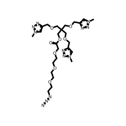 Cn1cc(COCC(COCc2cn(C)nn2)(COCc2cn(C)nn2)COC(=O)COCCOCCOCCN=[N+]=[N-])nn1